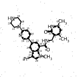 Cc1cc(C)c(CNC(=O)c2cc(-c3ccc(N4CCNCC4)nc3)cc3c(C(C)C)cn(C)c23)c(=O)[nH]1